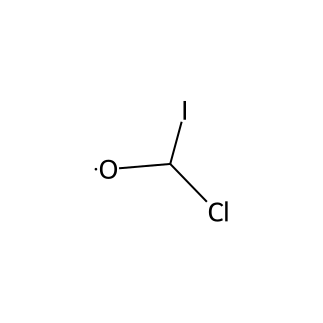 [O]C(Cl)I